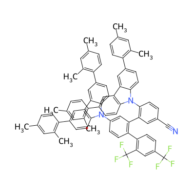 Cc1ccc(-c2ccc3c(c2)c2cc(-c4ccc(C)cc4C)ccc2n3-c2ccc(-c3ccc(C(F)(F)F)cc3C(F)(F)F)c(-c3cc(C#N)ccc3-n3c4ccc(-c5ccc(C)cc5C)cc4c4cc(-c5ccc(C)cc5C)ccc43)c2)c(C)c1